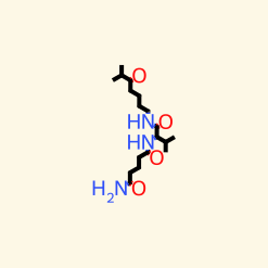 CC(C)C(=O)CCCCNC(=O)C(NC(=O)CCCC(N)=O)C(C)C